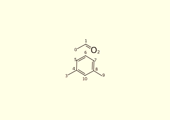 CC=O.Cc1cccc(C)c1